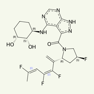 C=C(/C(F)=C(F)\C=C(/C)F)[C@H]1C[C@H](F)CN1C(=O)c1n[nH]c2ncnc(N[C@@H]3CCC[C@@H](O)[C@H]3O)c12